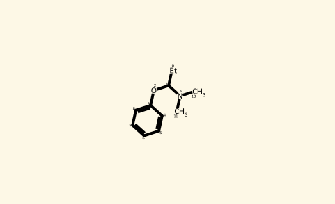 CCC(Oc1[c]cccc1)N(C)C